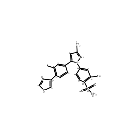 Cc1cc(-c2cc(C(F)(F)F)nn2-c2ccc(S(N)(=O)=O)c(F)c2)ccc1-c1cocn1